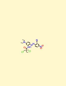 CCN(CC)c1ccc(N=Nc2ccc([N+](=O)[O-])cc2C#N)c(NC(=O)C(CC)(CCl)CCl)c1